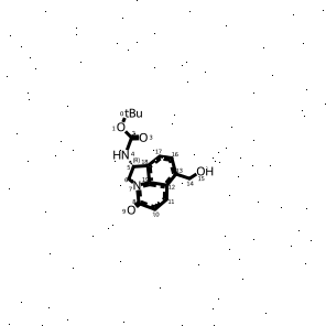 CC(C)(C)OC(=O)N[C@H]1Cn2c(=O)ccc3c(CO)ccc1c32